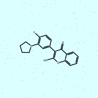 O=c1c(-c2ccc(F)c(N3CCCC3)c2)c(O)oc2ccccc12